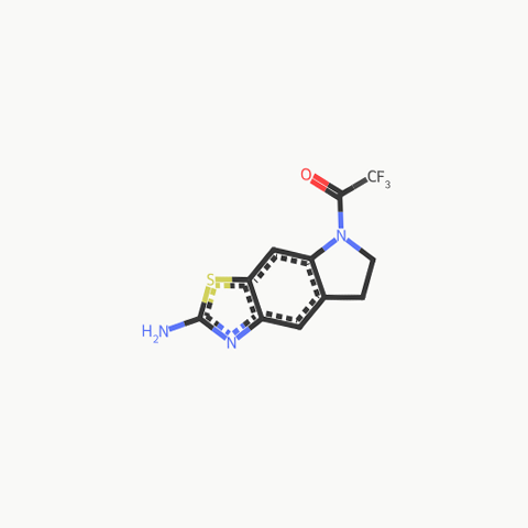 Nc1nc2cc3c(cc2s1)N(C(=O)C(F)(F)F)CC3